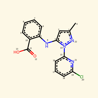 Cc1cc(Nc2ccccc2C(=O)O)n(-c2cccc(Cl)n2)n1